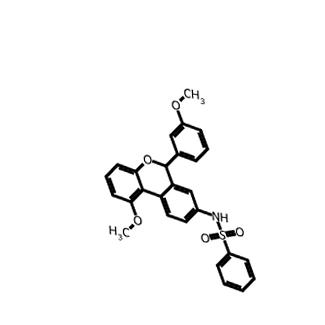 COc1cccc(C2Oc3cccc(OC)c3-c3ccc(NS(=O)(=O)c4ccccc4)cc32)c1